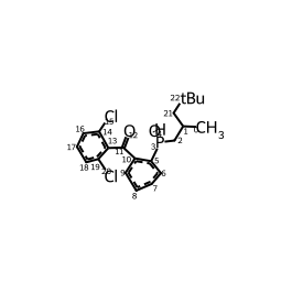 CC(C[PH](=O)c1ccccc1C(=O)c1c(Cl)cccc1Cl)CC(C)(C)C